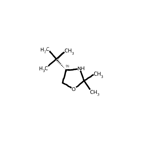 CC1(C)N[C@@H](C(C)(C)C)CO1